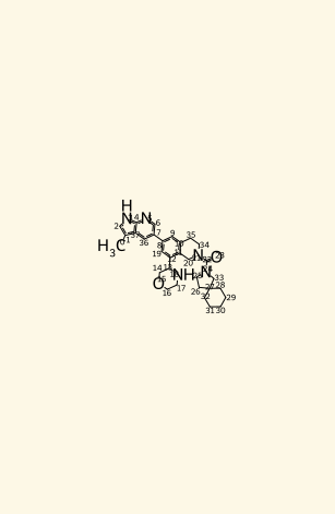 Cc1c[nH]c2ncc(-c3cc4c(c(C5COCCN5)c3)CN(C(=O)N3CCC5(CCCCC5)C3)CC4)cc12